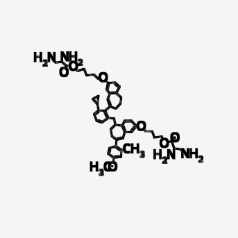 COc1ccc(C2=Cc3cc(OCCCCOC(=O)C(N)CN)ccc3C(Cc3cccc(C4CC4)c3C3=Cc4cc(OCCCCCOC(=O)C(N)CN)ccc4CCC3)CC2)c(C)c1